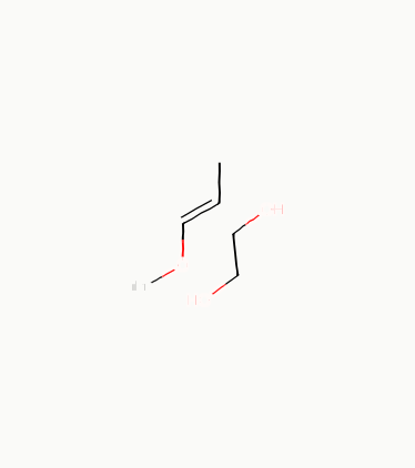 C/C=C/OC(C)C.OCCO